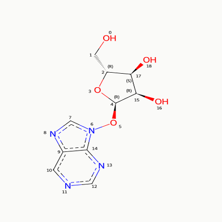 OC[C@H]1O[C@H](On2cnc3cncnc32)[C@H](O)[C@@H]1O